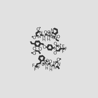 CCS(=O)(=O)c1cccnc1S(=O)(=O)NC(=O)Nc1nc(OC)cc(OC)n1.CCc1ccc(COc2ccc(-n3c(=O)cc(C(F)(F)F)n(C)c3=O)cc2)c(OC(C)C(=O)OC)c1.COc1nc(C)nc(NC(=O)NS(=O)(=O)c2ccccc2CCC(F)(F)F)n1